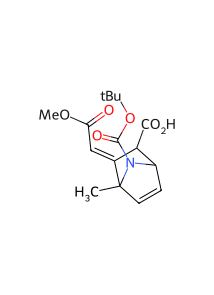 COC(=O)C=C1C(C(=O)O)C2C=CC1(C)N2C(=O)OC(C)(C)C